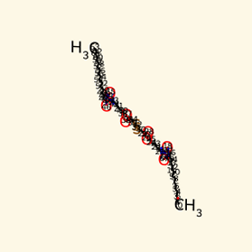 CCCCCCCCCCCCCCCC1CC(=O)N(CCCCCCOC(=O)CCSSCCC(=O)OCCCCCCN2C(=O)CC(CCCCCCCCCCCCCCC)C2=O)C1=O